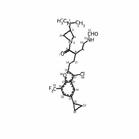 CN(C)C1CN(C(=O)C(CCNC=O)CCc2oc3c(C(F)(F)F)cc(C4CC4)cc3c2Cl)C1